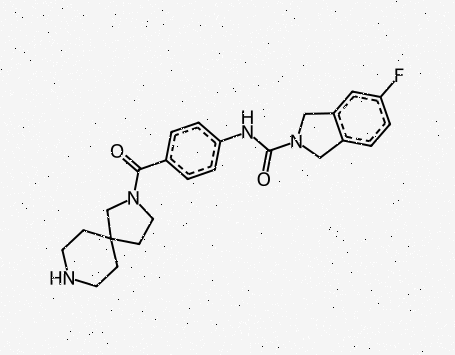 O=C(Nc1ccc(C(=O)N2CCC3(CCNCC3)C2)cc1)N1Cc2ccc(F)cc2C1